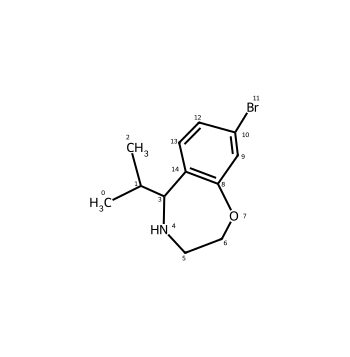 CC(C)C1NCCOc2cc(Br)ccc21